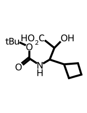 CC(C)(C)OC(=O)NC(C1CCC1)C(O)C(=O)O